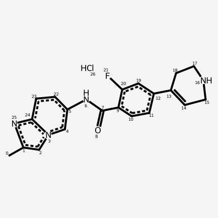 Cc1cn2cc(NC(=O)c3ccc(C4=CCNCC4)cc3F)ccc2n1.Cl